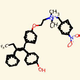 CC/C(=C(/c1ccc(O)cc1)c1ccc(OCC[N+](C)(C)Cc2ccc([N+](=O)[O-])cc2)cc1)c1ccccc1